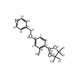 CC1(C)OB(c2ccc(OCc3ccncc3)cc2F)OC1(C)C